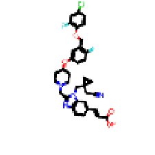 N#CCC1(Cn2c(CN3CCC(Oc4ccc(F)c(COc5ccc(Cl)cc5F)c4)CC3)nc3ccc(/C=C/C(=O)O)cc32)CC1